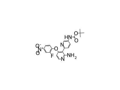 CC(C)(C)OC(=O)Nc1ccc(-c2c(Oc3ccc([N+](=O)[O-])cc3F)ccnc2N)nc1